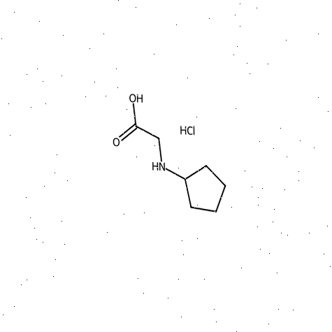 Cl.O=C(O)CNC1CCCC1